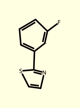 Fc1[c]c(-c2nccs2)ccc1